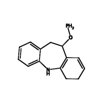 POC1Cc2ccccc2NC2=C1C=CCC2